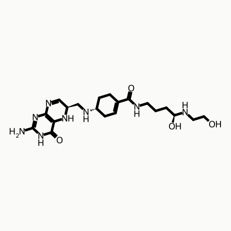 Nc1nc2c(c(=O)[nH]1)N[C@H](CN[C@H]1CC=C(C(=O)NCCC[C@H](O)NCCO)CC1)C=N2